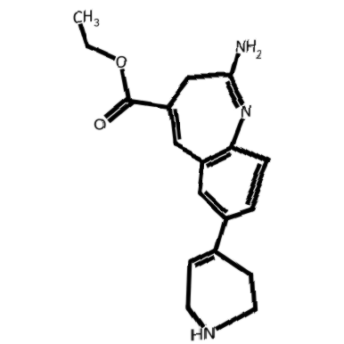 CCOC(=O)C1=Cc2cc(C3=CCNCC3)ccc2N=C(N)C1